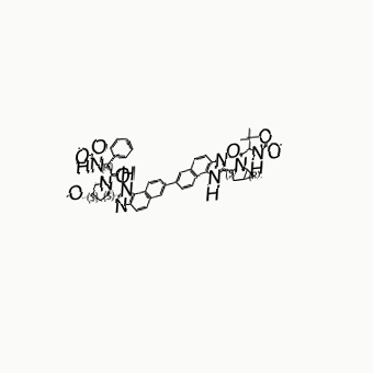 COC[C@H]1C[C@@H](c2nc3ccc4cc(-c5ccc6c(ccc7nc([C@@H]8CC9C([C@@H]9C)N8C(=O)C(NC(=O)OC)C(C)(C)C)[nH]c76)c5)ccc4c3[nH]2)N(C(=O)[C@H](NC(=O)OC)c2ccccc2)C1